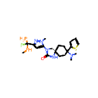 CPC(F)(P)c1cc(N2C[C@]3(CC[C@](c4cccs4)(N(C)C)CC3)NC2=O)n(C)n1